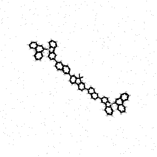 CC1(C)c2cc(-c3ccc4cc(-c5ccc6c(c5)c5ccccc5n6-c5cc6ccccc6c6ccccc56)ccc4c3)ccc2-c2ccc(-c3ccc4cc(-c5ccc6c(c5)c5ccccc5n6-c5cc6ccccc6c6ccccc56)ccc4c3)cc21